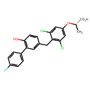 C[C@H](Oc1cc(Cl)c(Cc2ccc(O)c(-c3ccc(F)cc3)c2)c(Cl)c1)C(=O)O